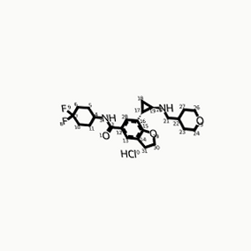 Cl.O=C(NC1CCC(F)(F)CC1)c1cc2c(c([C@@H]3C[C@H]3NCC3CCOCC3)c1)OCC2